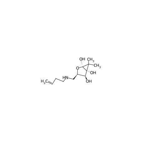 C=CCCNC[C@H]1O[C@@]2(O)C(C)(C)[C@@]2(O)[C@H]1O